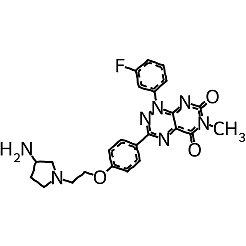 Cn1c(=O)nc2n(-c3cccc(F)c3)nc(-c3ccc(OCCN4CCC(N)C4)cc3)nc-2c1=O